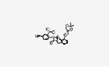 Cn1c(C(=O)Nc2ccc(C#N)cc2C(=O)O)cc2cccc(OC[C@H]3COC(C)(C)O3)c21